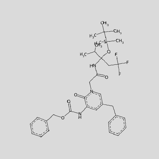 CC(C)C(CC(F)(F)F)(NC(=O)Cn1cc(Cc2ccccc2)cc(NC(=O)OCc2ccccc2)c1=O)O[Si](C)(C)C(C)(C)C